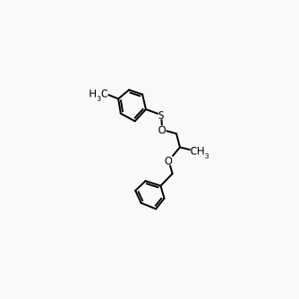 Cc1ccc(SOCC(C)OCc2ccccc2)cc1